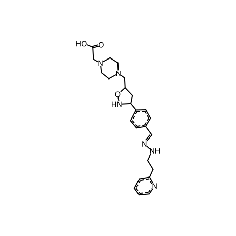 O=C(O)CN1CCN(CC2CC(c3ccc(C=NNCCc4ccccn4)cc3)NO2)CC1